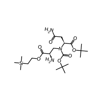 CC(C)(C)OC(=O)[C@H](CC(N)=O)N(C[C@@H](N)C(=O)OCC[Si](C)(C)C)C(=O)OC(C)(C)C